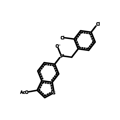 CC(=O)Oc1csc2cc([S+]([O-])Cc3ccc(Cl)cc3Cl)ccc12